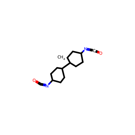 C.O=C=NC1CCC(C2CCC(N=C=O)CC2)CC1